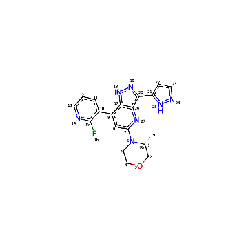 C[C@@H]1COCCN1c1cc(-c2cccnc2F)c2[nH]nc(-c3ccn[nH]3)c2n1